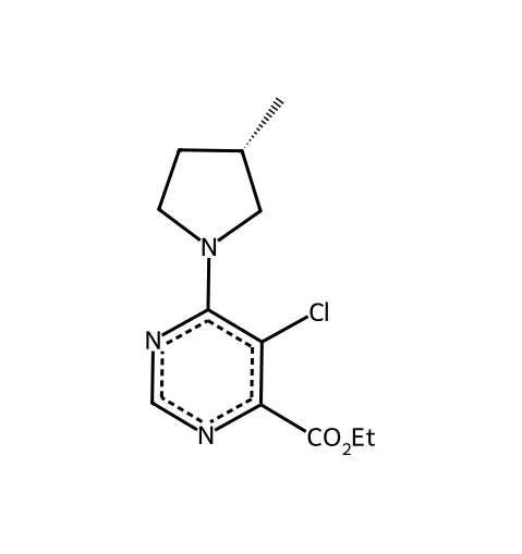 CCOC(=O)c1ncnc(N2CC[C@H](C)C2)c1Cl